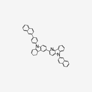 C1=Cc2c(c3cc(-c4ccc5c(n4)c4ccccc4n5-c4ccc5ccccc5c4)ccc3n2-c2ccc(-c3ccc4ccccc4c3)cc2)CC1